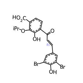 CC(C)Oc1c(C(=O)O)ccc(C(=O)/C=C/c2cc(Br)c(O)c(Br)c2)c1O